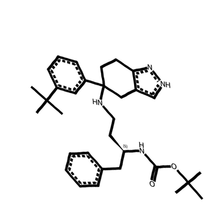 CC(C)(C)OC(=O)N[C@H](CCNC1(c2cccc(C(C)(C)C)c2)CCc2n[nH]cc2C1)Cc1ccccc1